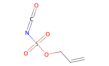 C=CCOS(=O)(=O)N=C=O